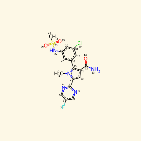 Cn1c(-c2ncc(F)cn2)cc(C(N)=O)c1-c1cc(Cl)cc(NS(C)(=O)=O)c1